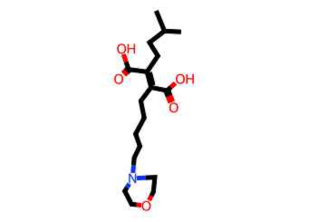 CC(C)CC/C(C(=O)O)=C(/CCCCCN1CCOCC1)C(=O)O